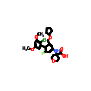 COc1cc(OC)c(Cl)c(-c2c(F)cc(NC3(C(=O)O)CCOCC3)cc2COC2CCCC2)c1